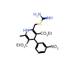 CCOC(=O)C1=C(C)NC(CSC(=N)N)=C(C(=O)OCC)C1c1cccc([N+](=O)[O-])c1